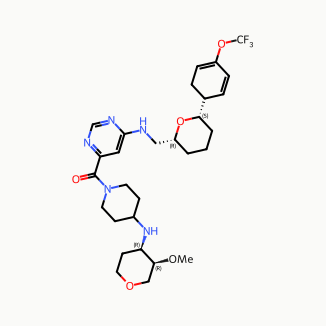 CO[C@H]1COCC[C@H]1NC1CCN(C(=O)c2cc(NC[C@H]3CCC[C@@H](C4C=CC(OC(F)(F)F)=CC4)O3)ncn2)CC1